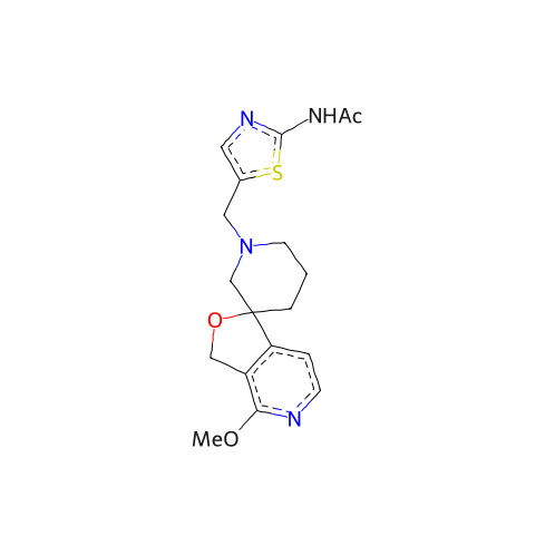 COc1nccc2c1COC21CCCN(Cc2cnc(NC(C)=O)s2)C1